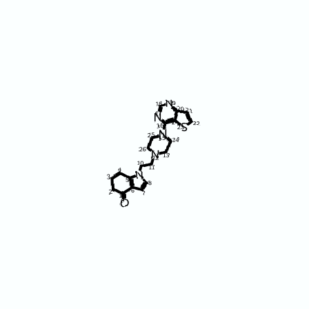 O=C1CCCc2c1ccn2CCN1CCN(c2ncnc3ccsc23)CC1